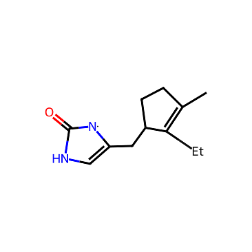 CCC1=C(C)CCC1CC1=CNC(=O)[N]1